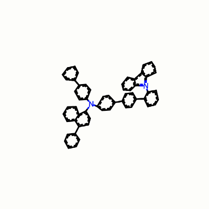 c1ccc(-c2ccc(N(c3ccc(-c4ccc(-c5ccccc5-n5c6ccccc6c6ccccc65)cc4)cc3)c3ccc(-c4ccccc4)c4ccccc34)cc2)cc1